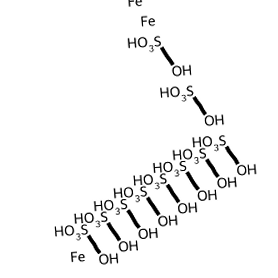 O=S(=O)(O)O.O=S(=O)(O)O.O=S(=O)(O)O.O=S(=O)(O)O.O=S(=O)(O)O.O=S(=O)(O)O.O=S(=O)(O)O.O=S(=O)(O)O.O=S(=O)(O)O.O=S(=O)(O)O.[Fe].[Fe].[Fe]